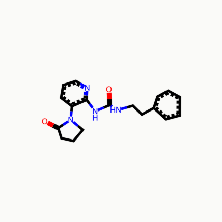 O=C(NCCc1ccccc1)Nc1ncccc1N1CCCC1=O